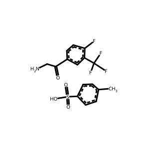 Cc1ccc(S(=O)(=O)O)cc1.NCC(=O)c1ccc(F)c(C(F)(F)F)c1